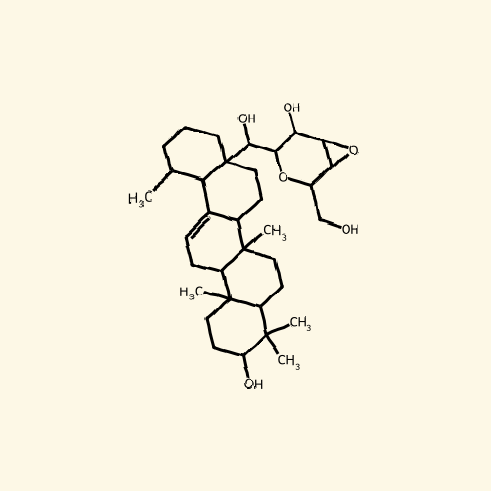 CC1CCCC2(C(O)C3OC(CO)C4OC4C3O)CCC3C(=CCC4C3(C)CCC3C(C)(C)C(O)CCC34C)C12